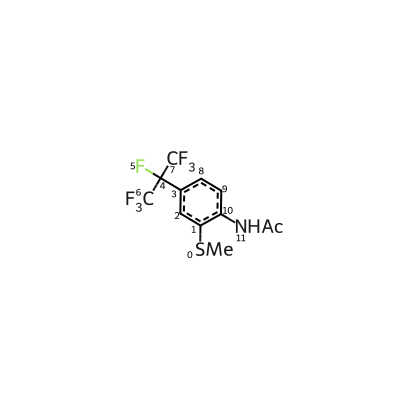 CSc1cc(C(F)(C(F)(F)F)C(F)(F)F)ccc1NC(C)=O